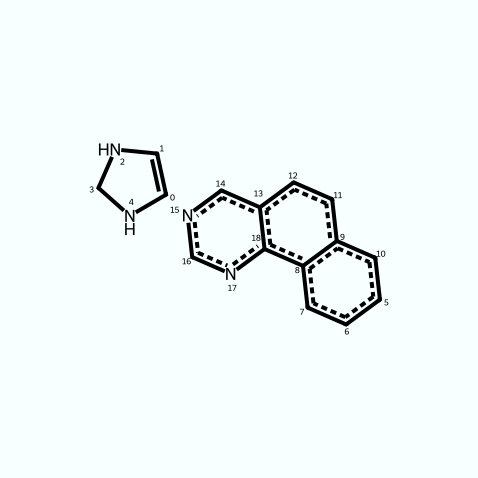 C1=CNCN1.c1ccc2c(c1)ccc1cncnc12